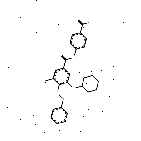 COC(=O)c1ccc(NC(=O)c2cc(Cl)c(OCc3ccccc3)c(OC3CCCCC3)c2)cc1